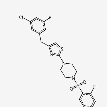 O=S(=O)(c1ccccc1Cl)N1CCN(c2nc(Cc3cc(F)cc(Cl)c3)cs2)CC1